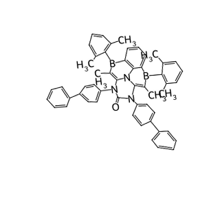 CC1=C2N(c3ccc(-c4ccccc4)cc3)C(=O)N(c3ccc(-c4ccccc4)cc3)C3=C(C)B(c4c(C)cccc4C)c4cccc(c4N23)B1c1c(C)cccc1C